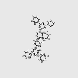 c1ccc(-c2nc(-c3ccccc3)nc(-c3ccc(-c4cnc(-c5cc(-c6ccccn6)nc(-c6ccccn6)c5)nc4)c4ccccc34)n2)cc1